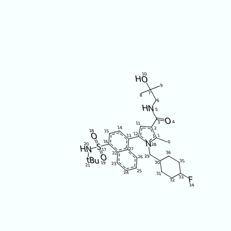 Cc1c(C(=O)NCC(C)(C)O)cc(-c2ccc(S(=O)(=O)NC(C)(C)C)c3ccccc23)n1CC1CCC(F)CC1